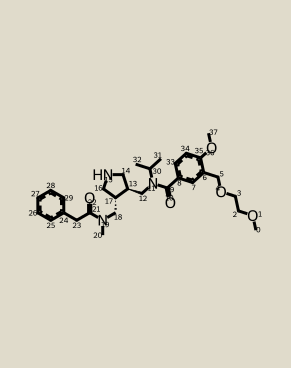 COCCOCc1cc(C(=O)N(C[C@@H]2CNC[C@H]2CN(C)C(=O)Cc2ccccc2)C(C)C)ccc1OC